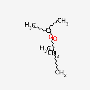 CCCCCCCCCCC(CCCCC(=O)OCc1cc(CCCCCC)cc(CCCCCC)c1)C(C)C